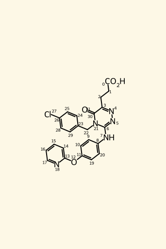 O=C(O)CCc1nnc(Nc2ccc(Oc3ccccn3)cc2)n(Cc2ccc(Cl)cc2)c1=O